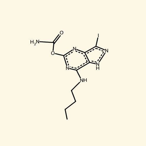 CCCCNc1nc(OC(N)=O)nc2c(I)n[nH]c12